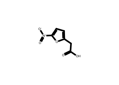 O=C(O)Cc1ccc([N+](=O)[O-])o1